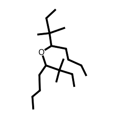 CCCCC(OC(CCCC)C(C)(C)CC)C(C)(C)CC